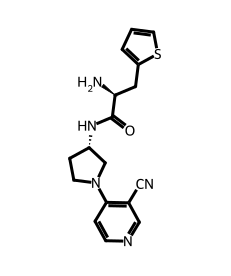 N#Cc1cnccc1N1CC[C@H](NC(=O)[C@@H](N)Cc2cccs2)C1